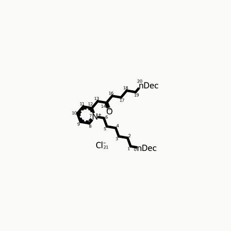 CCCCCCCCCCCCCCCC[n+]1ccccc1CC(=O)CCCCCCCCCCCCCC.[Cl-]